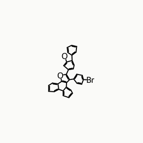 Brc1ccc(-c2c(-c3ccc4c(c3)oc3ccccc34)oc3c4ccccc4c4ccccc4c23)cc1